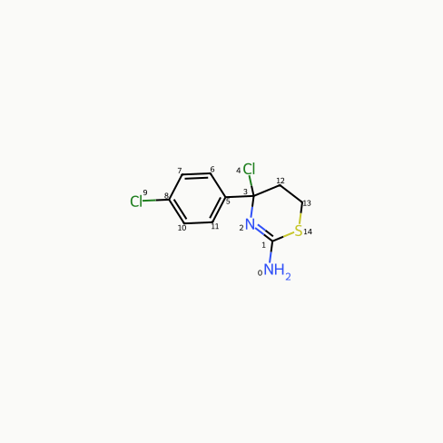 NC1=NC(Cl)(c2ccc(Cl)cc2)CCS1